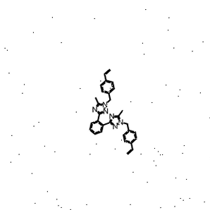 C=Cc1ccc(Cn2nc(-c3ccccc3-c3nc(C)n(Cc4ccc(C=C)cc4)n3)nc2C)cc1